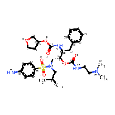 CC(C)CN(C[C@@H](OC(=O)NCCN(C)C)[C@H](Cc1ccccc1)NC(=O)O[C@H]1CCOC1)S(=O)(=O)c1ccc(N)cc1